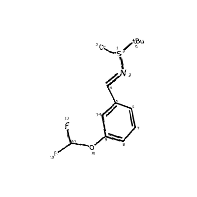 CC(C)(C)[S+]([O-])N=Cc1cccc(OC(F)F)c1